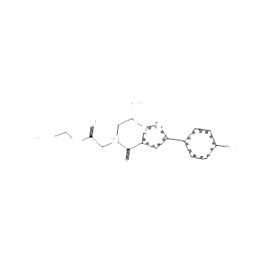 CCOC(=O)CN1C[C@H](C)n2nc(-c3ccc(Cl)cc3)cc2C1=O